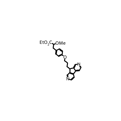 CCOC(=O)C(Cc1ccc(OCCCC2c3cnccc3-c3ccncc32)cc1)OC